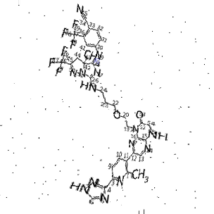 Cc1nc(-c2nc[nH]n2)ccc1-c1cnc2c(n1)N(CCOCCCNC1=N/C(=N/c3ccc(C#N)c(C(F)(F)F)c3)C3(C)CC(C(F)(F)F)=NN13)C(=O)CN2